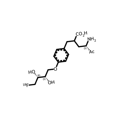 CC(=O)[C@@H](N)CC(Cc1ccc(OC[C@H](O)[C@@H](O)C[18F])cc1)C(=O)O